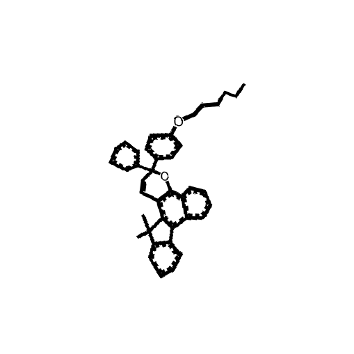 CCCCCCOc1ccc(C2(c3ccccc3)C=Cc3c4c(c5ccccc5c3O2)-c2ccccc2C4(C)C)cc1